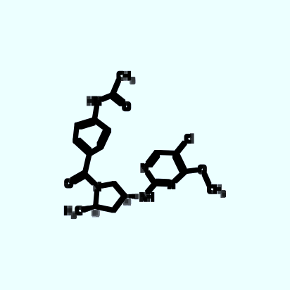 COc1nc(N[C@@H]2C[C@@H](C)N(C(=O)c3ccc(NC(C)=O)cc3)C2)ncc1Cl